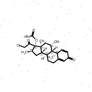 CCCCC(=O)O[C@@]1(C(=O)CCl)[C@H](C)C[C@H]2[C@@H]3CCC4=CC(=O)C=C[C@]4(C)[C@H]3[C@@H](O)C[C@@]21C